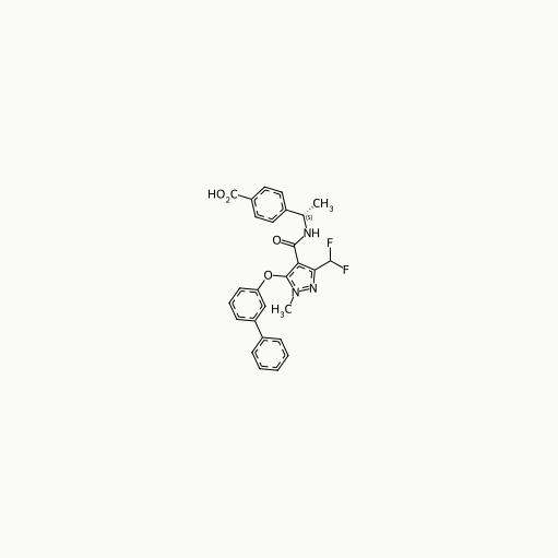 C[C@H](NC(=O)c1c(C(F)F)nn(C)c1Oc1cccc(-c2ccccc2)c1)c1ccc(C(=O)O)cc1